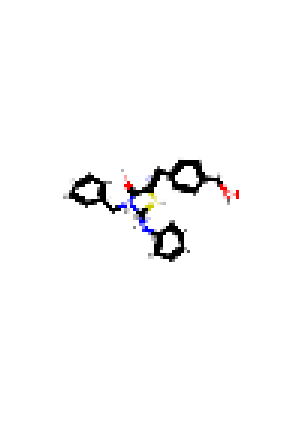 O=C1/C(=C/c2ccc(CO)cc2)S/C(=N\c2ccccc2)N1Cc1ccccc1